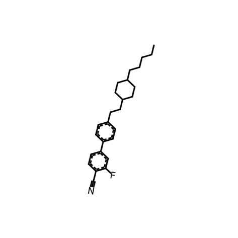 CCCCCC1CCC(CCc2ccc(-c3ccc(C#N)c(F)c3)cc2)CC1